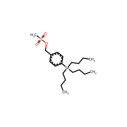 CCC[CH2][Sn]([CH2]CCC)([CH2]CCC)[c]1ccc(COS(C)(=O)=O)cc1